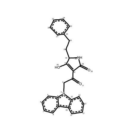 O=C(Cn1c2ccccc2c2ccccc21)C1=C(O)C(CCc2ccccc2)NC1=O